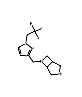 FC(F)(F)Cn1ccc(CN2CC3CNCC32)n1